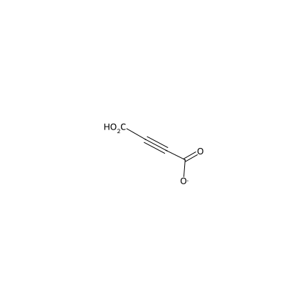 [O]C(=O)C#CC(=O)O